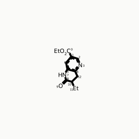 CCOC(=O)c1cnc2c(c1)NC(=O)C(CC)C2